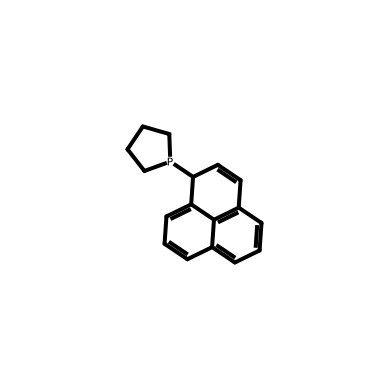 C1=CC(P2CCCC2)c2cccc3cccc1c23